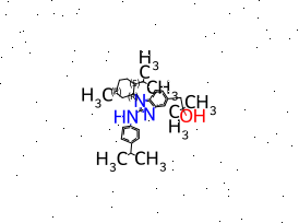 CC(C)c1ccc(Nc2nc3cc(CC(C)(C)O)ccc3n2[C@@H]2C[C@H](C)CC[C@H]2C(C)C)cc1